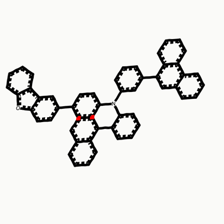 c1cc(-c2cc3ccccc3c3ccccc23)cc(N(c2ccc(-c3ccc4oc5ccccc5c4c3)cc2)c2ccccc2-c2cccc3ccccc23)c1